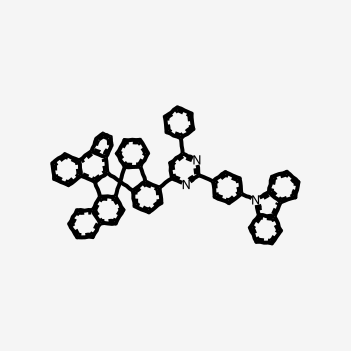 c1ccc(-c2cc(-c3cccc4c3-c3ccccc3C43c4ccc5ccccc5c4-c4c3c3ccccc3c3ccccc43)nc(-c3ccc(-n4c5ccccc5c5ccccc54)cc3)n2)cc1